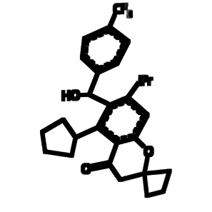 CC(C)c1cc2c(c(C3CCCC3)c1C(O)c1ccc(C(F)(F)F)cc1)C(=O)CC1(CCC1)O2